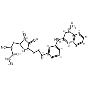 CCNC(=O)C(C#N)CC1SC(CCNc2cccc(NC(=O)CN(C)c3ccccn3)c2)C(=O)N1CC